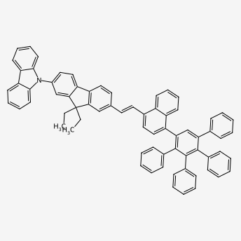 CCC1(CC)c2cc(/C=C/c3ccc(-c4cc(-c5ccccc5)c(-c5ccccc5)c(-c5ccccc5)c4-c4ccccc4)c4ccccc34)ccc2-c2ccc(-n3c4ccccc4c4ccccc43)cc21